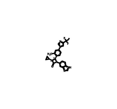 Cc1cc(-n2cnc(C(F)(F)F)c2)ccc1[C@@H]1[C@H](C2CC2)C(=O)N1c1ccc2[nH]cnc2c1